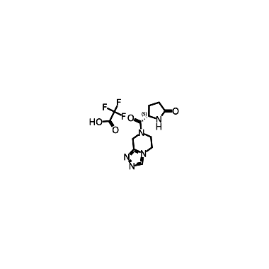 O=C(O)C(F)(F)F.O=C1CC[C@@H](C(=O)N2CCn3cnnc3C2)N1